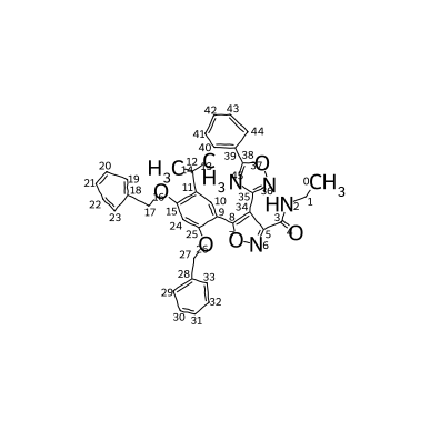 CCNC(=O)c1noc(-c2cc(C(C)C)c(OCc3ccccc3)cc2OCc2ccccc2)c1-c1noc(-c2ccccc2)n1